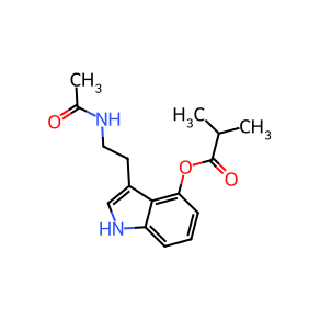 CC(=O)NCCc1c[nH]c2cccc(OC(=O)C(C)C)c12